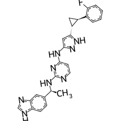 C[C@H](Nc1nccc(Nc2cc([C@@H]3C[C@H]3c3ccccc3F)[nH]n2)n1)c1ccc2[nH]cnc2c1